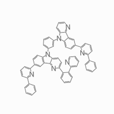 c1ccc(-c2cccc(-c3ccc4c(c3)c3ncccc3n4-c3cccc(-n4c5ccc(-c6cccc(-c7ccccc7)n6)cc5c5nc(-c6ccccc6-c6ccccn6)ccc54)c3)n2)cc1